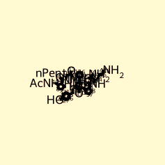 CCCCC[C@@H](NC(=O)C1CCCC1NC(C)=O)C(=O)NC1CCCC1C(=O)N[C@H](CCc1ccc(O)cc1)C(=O)NC1CCCC1C(=O)N[C@H](CCCCN)C(N)=O